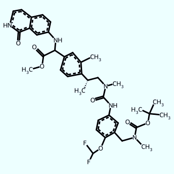 COC(=O)C(Nc1ccc2cc[nH]c(=O)c2c1)c1ccc([C@@H](C)CN(C)C(=O)Nc2ccc(OC(F)F)c(CN(C)C(=O)OC(C)(C)C)c2)c(C)c1